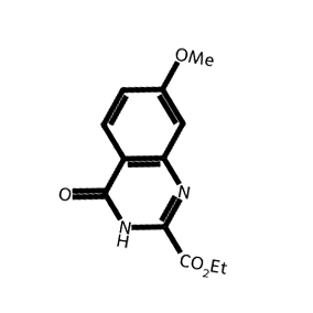 CCOC(=O)c1nc2cc(OC)ccc2c(=O)[nH]1